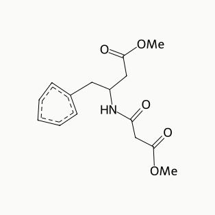 COC(=O)CC(=O)NC(CC(=O)OC)Cc1ccccc1